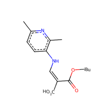 CCC(C)OC(=O)C(=CNc1ccc(C)nc1C)C(=O)O